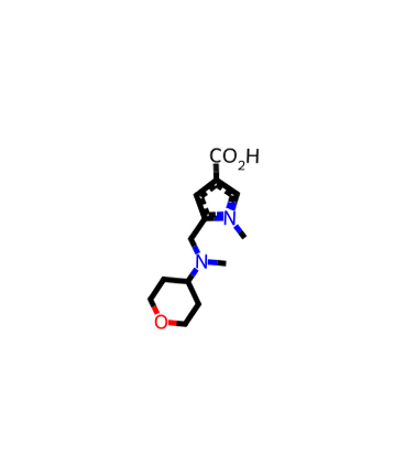 CN(Cc1cc(C(=O)O)cn1C)C1CCOCC1